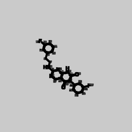 O=c1[nH]c2nc(NCCc3cccc(F)c3)ncc2c(=O)n1-c1cccc(F)c1